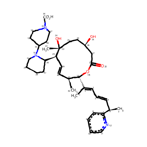 C/C(=C\C=C\[C@@H](C)c1ccccn1)[C@H]1OC(=O)C[C@H](O)CC[C@@](C)(O)[C@H](C2CCCCN2C2CCN(C(=O)O)CC2)/C=C/[C@@H]1C